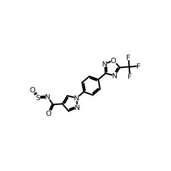 O=S=NC(=O)c1cnn(-c2ccc(-c3noc(C(F)(F)F)n3)cc2)c1